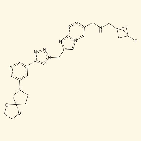 FC12CC(CNCc3ccc4nc(Cn5cc(-c6cncc(N7CCC8(C7)OCCO8)c6)nn5)cn4c3)(C1)C2